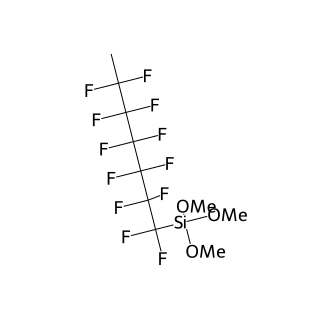 CO[Si](OC)(OC)C(F)(F)C(F)(F)C(F)(F)C(F)(F)C(F)(F)C(C)(F)F